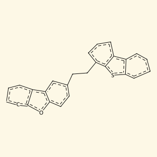 c1ccc2c(c1)oc1ccc(CCc3cccc4c3sc3ccccc34)cc12